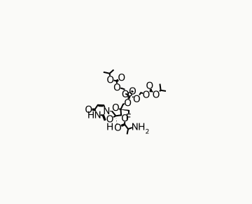 C=C1NC(=O)C=CN1[C@@H]1O[C@](CF)(COP(=O)(OCOC(=O)OC(C)C)OCOC(=O)OC(C)C)[C@@H](OC(=O)C(C)N)[C@@]1(C)O